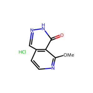 COc1nccc2cn[nH]c(=O)c12.Cl